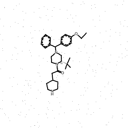 CCOc1ccc(C(c2ccccc2)N2CCN(C(=O)CC3CCNCC3)[C@@H](C(C)(C)C)C2)cc1